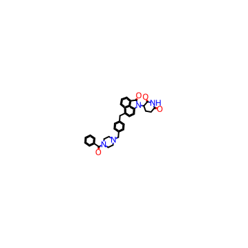 O=C1CCC(N2C(=O)c3cccc4c(Cc5ccc(CN6CCN(C(=O)c7ccccc7)CC6)cc5)ccc2c34)C(=O)N1